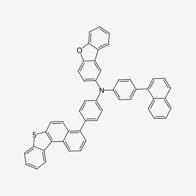 c1ccc2c(-c3ccc(N(c4ccc(-c5cccc6c5ccc5sc7ccccc7c56)cc4)c4ccc5oc6ccccc6c5c4)cc3)cccc2c1